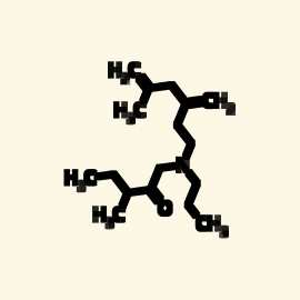 C=C(C)CC(=C)CCN(CCC)CC(=O)C(C)CC